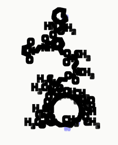 COc1cc2cc(c1Cl)N(C)C(=O)C[C@H](OC(=O)[C@H](C)N(C)C(=O)CCOC(=O)N(C)CCN(C)C(=O)OCc1ccc(OC(=O)N[C@H]3CCCC/C=C/[C@@H]3N)c(C(=O)NCCN3C(=O)C=CC3=O)c1)[C@]1(C)O[C@H]1[C@H](C)[C@@H]1C[C@@](O)(NC(=O)O1)[C@H](OC)/C=C/C=C(\C)C2